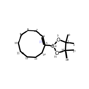 CC1(C)OB(/C2=C/CCCCCCCC2)OC1(C)C